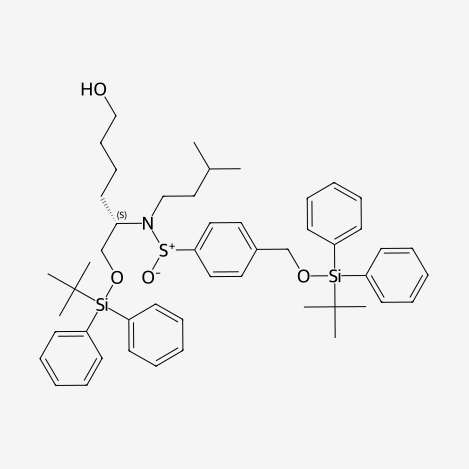 CC(C)CCN([C@@H](CCCCO)CO[Si](c1ccccc1)(c1ccccc1)C(C)(C)C)[S+]([O-])c1ccc(CO[Si](c2ccccc2)(c2ccccc2)C(C)(C)C)cc1